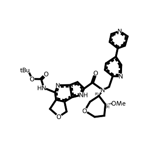 CO[C@@H]1CCOC[C@H]1N(Cc1ccc(-c2ccncc2)cn1)C(=O)c1cc2nc(NC(=O)OC(C)(C)C)c3c(c2[nH]1)COC3